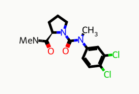 CNC(=O)[C@H]1CCCN1C(=O)N(C)c1ccc(Cl)c(Cl)c1